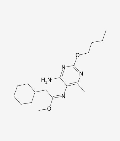 CCCCOc1nc(C)c(/N=C(\CC2CCCCC2)OC)c(N)n1